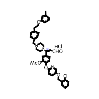 COc1cc(/C(=C\C=O)N2CCN(Cc3ccc(CCOc4cccc(C)c4)cc3)CC2)ccc1Oc1ccc(OCc2ccccc2Cl)cn1.Cl